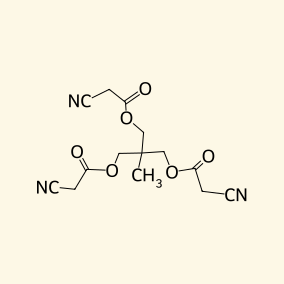 CC(COC(=O)CC#N)(COC(=O)CC#N)COC(=O)CC#N